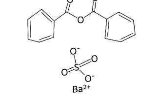 O=C(OC(=O)c1ccccc1)c1ccccc1.O=S(=O)([O-])[O-].[Ba+2]